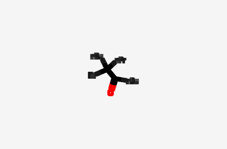 CCCCC(=O)C(CC)(CCC)CCCC